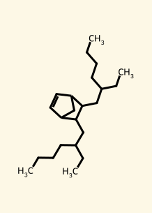 CCCCC(CC)CC1C2C=CC(C2)C1CC(CC)CCCC